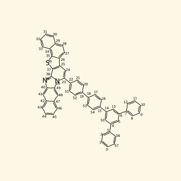 c1ccc(-c2cc(-c3ccccc3)cc(-c3ccc(-c4ccc(-c5cc6c7ccc8ccccc8c7sc6c6nc7cc8ccccc8cc7n56)cc4)cc3)c2)cc1